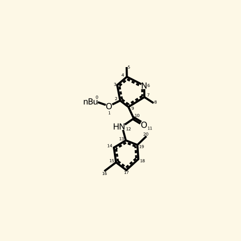 CCCCOc1cc(C)nc(C)c1C(=O)Nc1cc(C)ccc1C